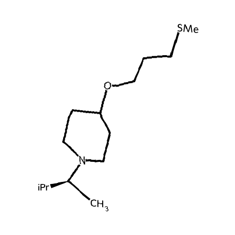 CSCCCOC1CCN([C@@H](C)C(C)C)CC1